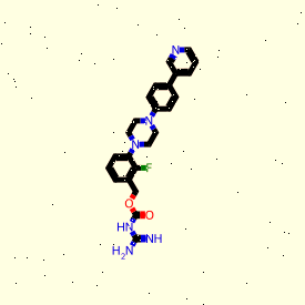 N=C(N)NC(=O)OCc1cccc(N2CCN(c3ccc(-c4cccnc4)cc3)CC2)c1F